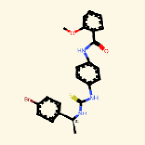 COc1ccccc1C(=O)Nc1ccc(NC(=S)N[C@@H](C)c2ccc(Br)cc2)cc1